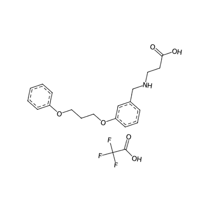 O=C(O)C(F)(F)F.O=C(O)CCNCc1cccc(OCCCOc2ccccc2)c1